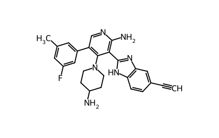 C#Cc1ccc2[nH]c(-c3c(N)ncc(-c4cc(C)cc(F)c4)c3N3CCC(N)CC3)nc2c1